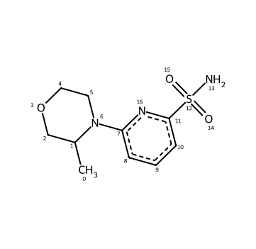 CC1COCCN1c1cccc(S(N)(=O)=O)n1